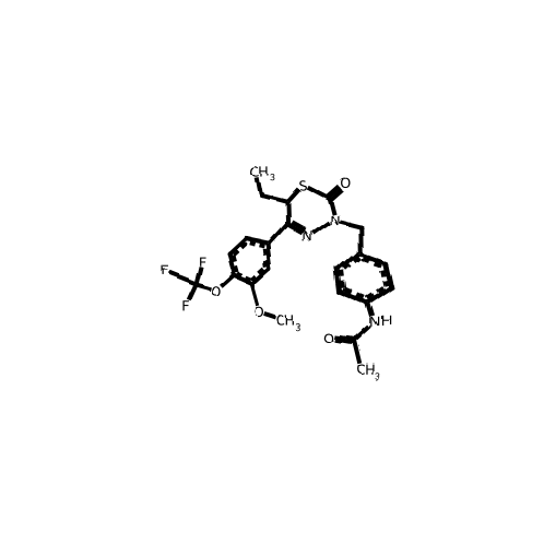 CCC1SC(=O)N(Cc2ccc(NC(C)=O)cc2)N=C1c1ccc(OC(F)(F)F)c(OC)c1